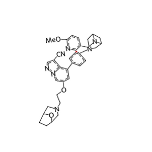 COc1ccc(CN2C3CC2CN(c2ccc(-c4cc(OCCN5CC6CCC(C5)O6)cn5ncc(C#N)c45)cc2)C3)cn1